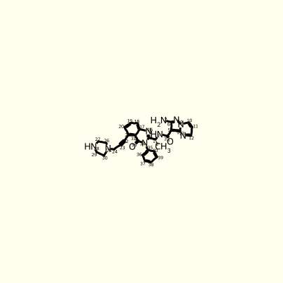 C[C@@H](NC(=O)c1c(N)nn2cccnc12)c1nc2cccc(C#CCN3CCNCC3)c2c(=O)n1-c1ccccc1